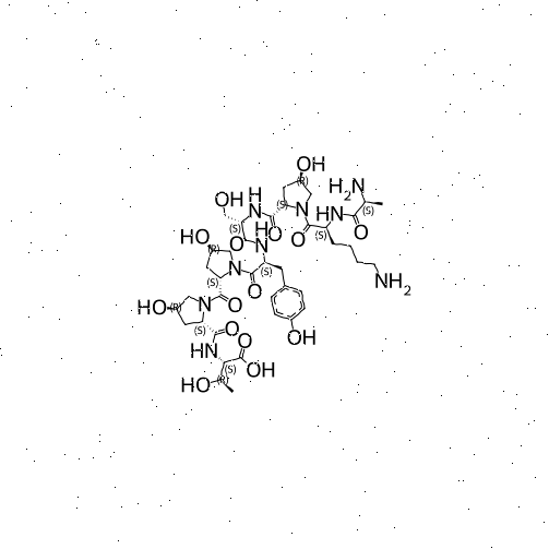 C[C@H](N)C(=O)N[C@@H](CCCCN)C(=O)N1C[C@H](O)C[C@H]1C(=O)N[C@@H](CO)C(=O)N[C@@H](Cc1ccc(O)cc1)C(=O)N1C[C@H](O)C[C@H]1C(=O)N1C[C@H](O)C[C@H]1C(=O)N[C@H](C(=O)O)[C@@H](C)O